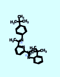 C/C(=N\c1ccc(C(C)(C)C)cc1)c1cccc(/C(C)=N/c2ccccc2C(C)(C)C)n1